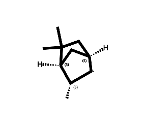 C[C@H]1[CH][C@H]2C[C@@H]1C(C)(C)C2